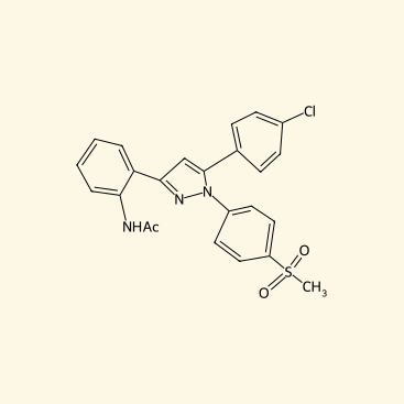 CC(=O)Nc1ccccc1-c1cc(-c2ccc(Cl)cc2)n(-c2ccc(S(C)(=O)=O)cc2)n1